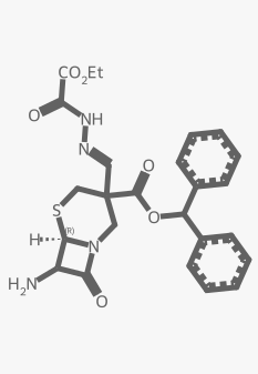 CCOC(=O)C(=O)NN=CC1(C(=O)OC(c2ccccc2)c2ccccc2)CS[C@@H]2C(N)C(=O)N2C1